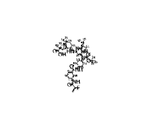 C=C(F)C(=O)Nc1cccc(C(=O)Nc2ccc(N(C(=O)OC(C)(C)C)c3cc(N[C@H]4CCC(C)(C)N(CC(C)(C)C(=O)O)C4)nc4c(C(C)C)cnn34)cc2)c1